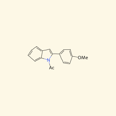 COc1ccc(-c2cc3ccccc3n2C(C)=O)cc1